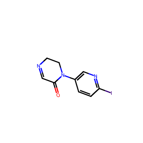 O=C1C=NCCN1c1ccc(I)nc1